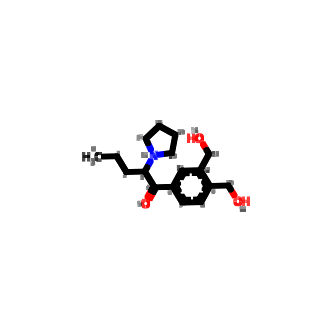 CCCC(C(=O)c1ccc(CO)c(CO)c1)N1CCCC1